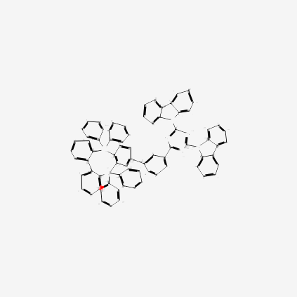 c1ccc([Si]2(c3ccccc3)c3ccccc3-c3ccccc3[Si](c3ccccc3)(c3ccccc3)c3cc(-c4cccc(-c5nc(-n6c7ccccc7c7ccccc76)nc(-n6c7ccccc7c7ccccc76)n5)c4)ccc32)cc1